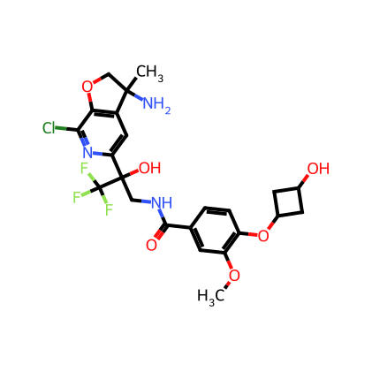 COc1cc(C(=O)NCC(O)(c2cc3c(c(Cl)n2)OCC3(C)N)C(F)(F)F)ccc1OC1CC(O)C1